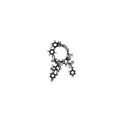 O=C1NCCCCn2cc3c(cccc3n2)-c2cccc(c2)O[C@H]2C[C@@H](C(=O)N3CCN(C(=O)OCc4ccccc4)C[C@@H]13)N(c1ncnc3c1cnn3-c1ccc(F)cc1F)C2